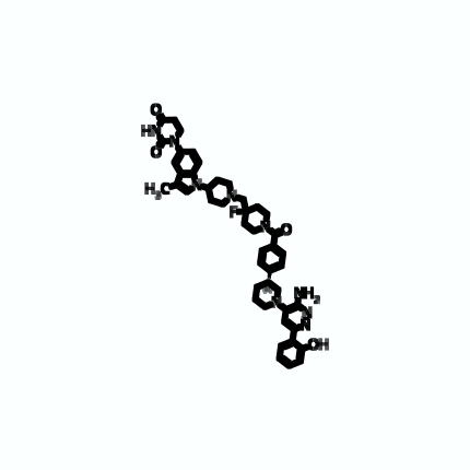 Cc1cn(C2CCN(CC3(F)CCN(C(=O)c4ccc([C@H]5CCCN(c6cc(-c7ccccc7O)nnc6N)C5)cc4)CC3)CC2)c2ccc(N3CCC(=O)NC3=O)cc12